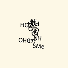 CSCC[C@@H](COC=O)Nc1ccn(C2O[C@@](CO)(N=[N+]=[N-])C(O)[C@@H]2F)c(=O)n1